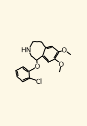 COc1cc2c(cc1OC)C(Oc1ccccc1Cl)CNCC2